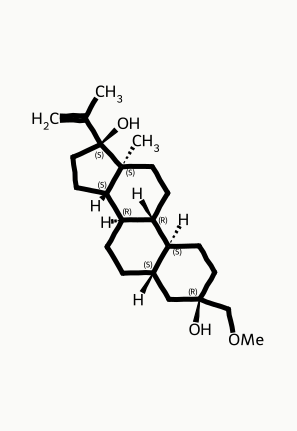 C=C(C)[C@@]1(O)CC[C@H]2[C@@H]3CC[C@H]4C[C@@](O)(COC)CC[C@@H]4[C@H]3CC[C@@]21C